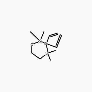 C=C[Si]1(C=C)[Si](C)(C)CCO[Si]1(C)C